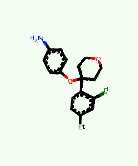 CCc1ccc(C2(Oc3ccc(N)cc3)CCOCC2)c(Cl)c1